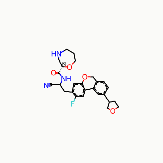 N#CC(Cc1cc2c(cc1F)-c1cc(C3CCOC3)ccc1CO2)NC(=O)[C@@H]1CNCCCO1